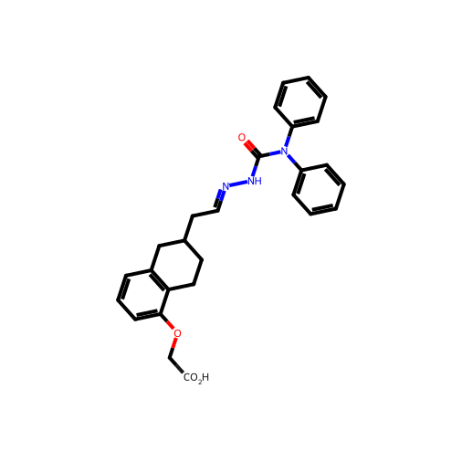 O=C(O)COc1cccc2c1CCC(C/C=N/NC(=O)N(c1ccccc1)c1ccccc1)C2